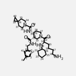 Cc1csc(CNC(=O)[C@H]2CN(C(=O)C(CCCCN)NC3CCCCC3)CC[C@H]2NC(=O)N2CCC3(CC2)CC3)c1